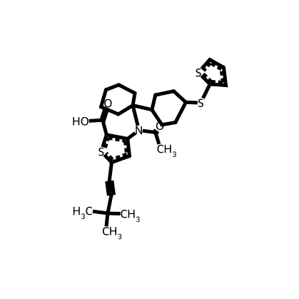 CC(=O)N(c1cc(C#CC(C)(C)C)sc1C(=O)O)C1(C2CCC(Sc3cccs3)CC2)CCCCC1